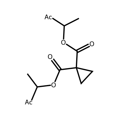 CC(=O)C(C)OC(=O)C1(C(=O)OC(C)C(C)=O)CC1